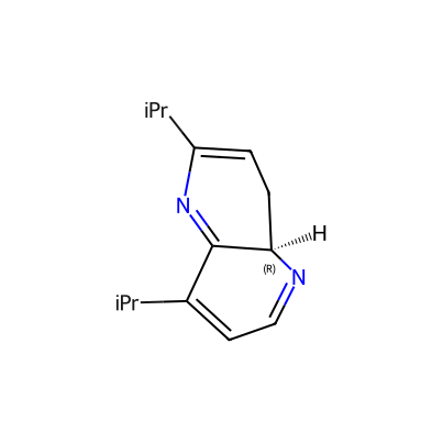 CC(C)C1=CC[C@H]2N=CC=C(C(C)C)C2=N1